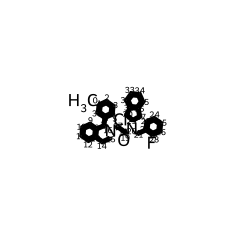 Cc1ccc(Cl)c(C2c3ccccc3CCN2CC(=O)N(Cc2ccccc2F)C2Cc3ccccc3C2)c1